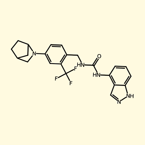 O=C(NCc1ccc(N2CC3CCC2C3)cc1C(F)(F)F)Nc1cccc2[nH]ncc12